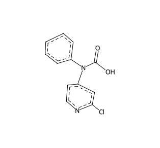 O=C(O)N(c1ccccc1)c1ccnc(Cl)c1